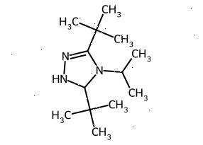 CC(C)N1C(C(C)(C)C)=NNC1C(C)(C)C